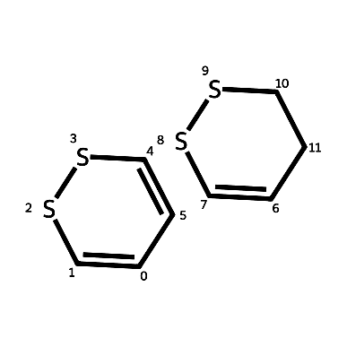 C1=CSSC=C1.C1=CSSCC1